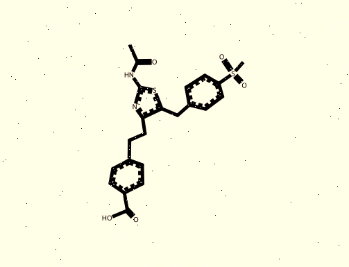 CC(=O)Nc1nc(CCc2ccc(C(=O)O)cc2)c(Cc2ccc(S(C)(=O)=O)cc2)s1